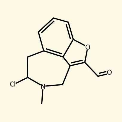 CN1Cc2c(C=O)oc3cccc(c23)CC1Cl